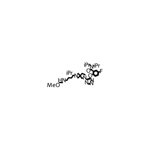 COCCNCCC[C@@H](C(C)C)N1CC2(CCN(c3ncnnc3Oc3ccc(F)cc3C(=O)N(C(C)C)C(C)C)C2)C1